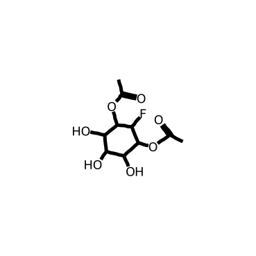 CC(=O)OC1C(O)C(O)C(O)C(OC(C)=O)C1F